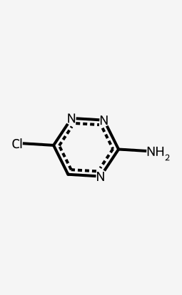 Nc1ncc(Cl)nn1